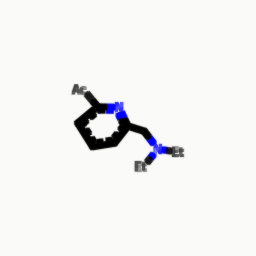 CCN(CC)Cc1cccc(C(C)=O)n1